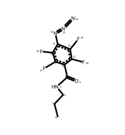 [CH2]CCNC(=O)c1c(F)c(F)c(N=[N+]=[N-])c(F)c1F